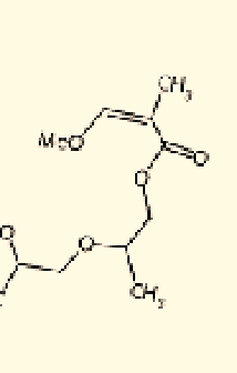 COC=C(C)C(=O)OCC(C)OCC(C)O